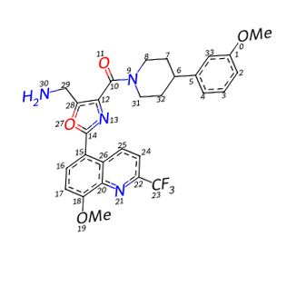 COc1cccc(C2CCN(C(=O)c3nc(-c4ccc(OC)c5nc(C(F)(F)F)ccc45)oc3CN)CC2)c1